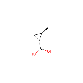 C[C@@H]1C[C@H]1B(O)O